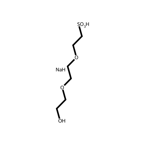 O=S(=O)(O)CCOCCOCCO.[NaH]